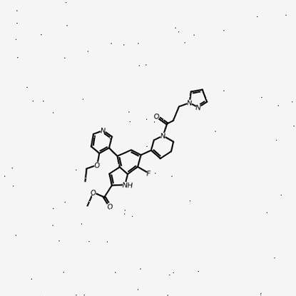 CCOc1ccncc1-c1cc(C2=CCCN(C(=O)CCn3cccn3)C2)c(F)c2[nH]c(C(=O)OC)cc12